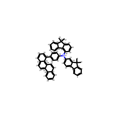 CC1(C)c2ccccc2-c2ccc(N(c3ccc(-c4cccc5ccc6c7ccccc7ccc6c45)cc3)c3cccc4c3-c3ccccc3C4(C)C)cc21